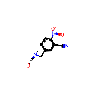 N#Cc1cc(CN=C=O)ccc1[N+](=O)[O-]